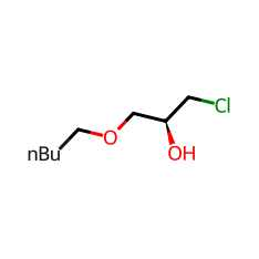 CCCCCOC[C@H](O)CCl